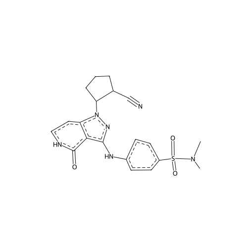 CN(C)S(=O)(=O)c1ccc(Nc2nn(C3CCCC3C#N)c3cc[nH]c(=O)c23)cc1